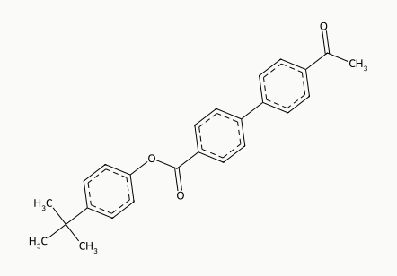 CC(=O)c1ccc(-c2ccc(C(=O)Oc3ccc(C(C)(C)C)cc3)cc2)cc1